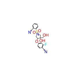 N#Cc1ccc(O[C@H]2CN(S(=O)(=O)c3ccccc3C#N)C[C@]2(O)CO)cc1F